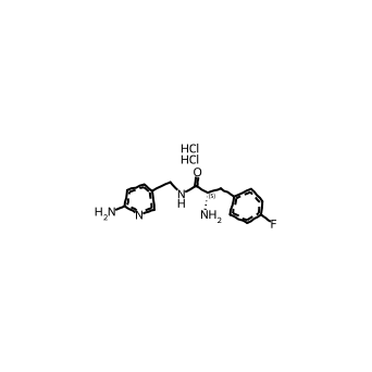 Cl.Cl.Nc1ccc(CNC(=O)[C@@H](N)Cc2ccc(F)cc2)cn1